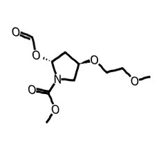 COCCO[C@@H]1C[C@@H](OC=O)N(C(=O)OC)C1